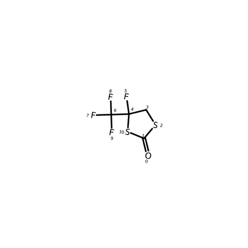 O=C1SCC(F)(C(F)(F)F)S1